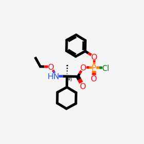 CCON[C@@](C)(C(=O)OP(=O)(Cl)Oc1ccccc1)C1CCCCC1